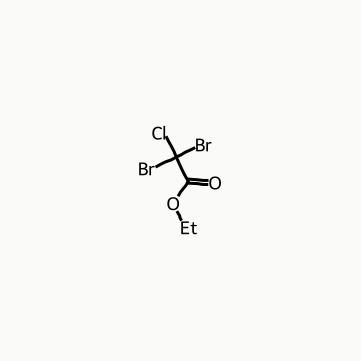 CCOC(=O)C(Cl)(Br)Br